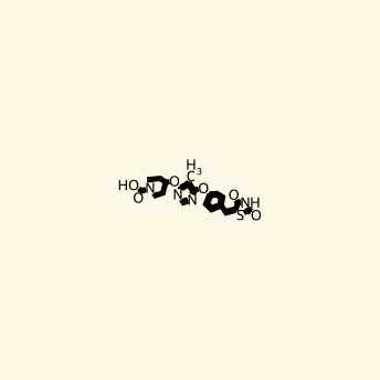 Cc1c(Oc2ccc(/C=C3/SC(=O)NC3=O)cc2)ncnc1OC1CCN(C(=O)O)CC1